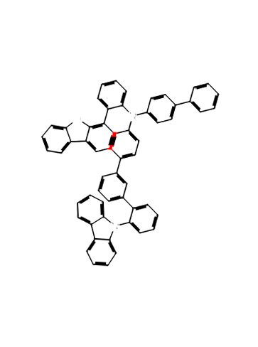 c1ccc(-c2ccc(N(c3ccc(-c4cccc(-c5ccccc5-n5c6ccccc6c6ccccc65)c4)cc3)c3ccccc3-c3cccc4c3oc3ccccc34)cc2)cc1